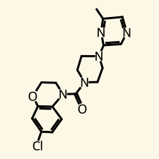 Cc1cncc(N2CCN(C(=O)N3CCOc4cc(Cl)ccc43)CC2)n1